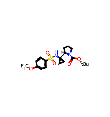 CC(C)(C)OC(=O)N1CCC[C@@H]1C1(NS(=O)(=O)c2ccc(OC(F)(F)F)cc2)CC1